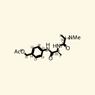 CN[C@@H](C)C(=O)N[C@@H](C)C(=O)Nc1ccc(COC(C)=O)cc1